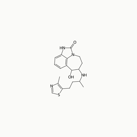 Cc1ncsc1CCC(C)NC1CCn2c(=O)[nH]c3cccc(c32)C1O